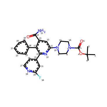 CC(C)(C)OC(=O)N1CCN(c2cc(C(N)=O)c(-c3ccccc3)c(-c3ccnc(F)c3)n2)CC1